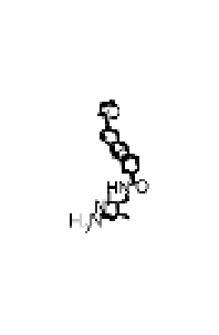 Cc1cc(N)nc(C)c1CNC(=O)c1ccc2c(c1)c1oc2c2cc(-c3ccco3)ccc21